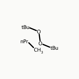 CC(C)(C)OOC(C)(C)C.CCCC